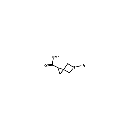 CCCN1CC2(CC2C(=O)NC)C1